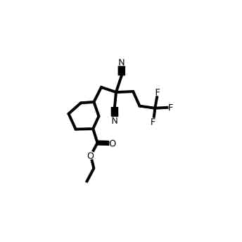 CCOC(=O)C1CCCC(CC(C#N)(C#N)CCC(F)(F)F)C1